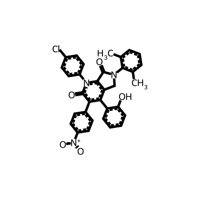 Cc1cccc(C)c1N1Cc2c(-c3ccccc3O)c(-c3ccc([N+](=O)[O-])cc3)c(=O)n(-c3ccc(Cl)cc3)c2C1=O